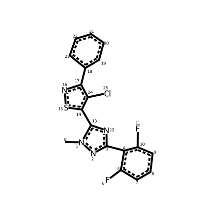 Cn1nc(-c2c(F)cccc2F)nc1-c1snc(-c2ccccc2)c1Cl